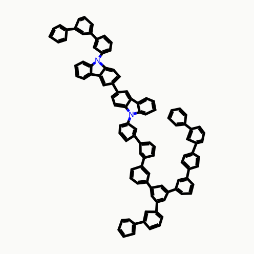 c1ccc(-c2cccc(-c3ccc(-c4cccc(-c5cc(-c6cccc(-c7ccccc7)c6)cc(-c6cccc(-c7cccc(-c8cccc(-n9c%10ccccc%10c%10cc(-c%11ccc%12c(c%11)c%11ccccc%11n%12-c%11cccc(-c%12cccc(-c%13ccccc%13)c%12)c%11)ccc%109)c8)c7)c6)c5)c4)cc3)c2)cc1